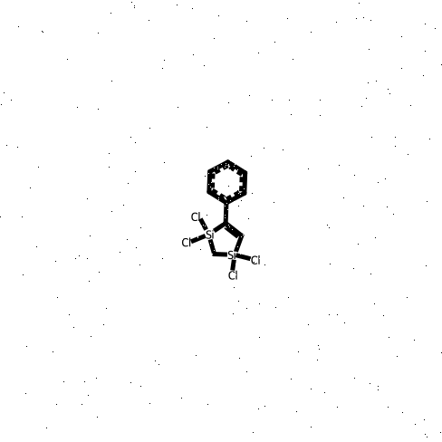 Cl[Si]1(Cl)C=C(c2ccccc2)[Si](Cl)(Cl)C1